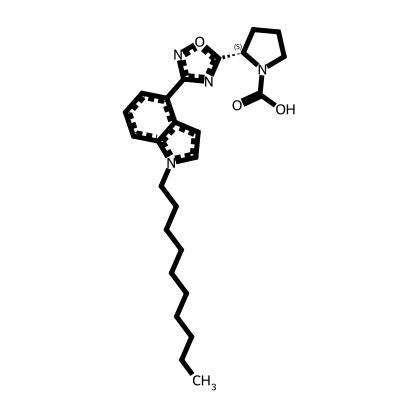 CCCCCCCCCCn1ccc2c(-c3noc([C@@H]4CCCN4C(=O)O)n3)cccc21